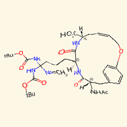 C=NC(CCC[C@@H]1NC(=O)[C@@H](NC(C)=O)Cc2ccc(cc2)OCC=CC[C@@H](C(=O)O)NC1=O)(NC(=O)OC(C)(C)C)NC(=O)OC(C)(C)C